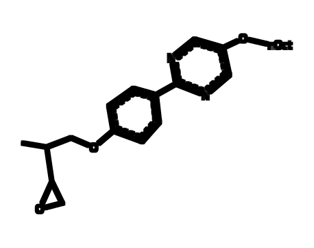 CCCCCCCCOc1cnc(-c2ccc(OCC(C)C3CO3)cc2)nc1